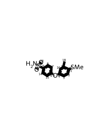 CSc1ccc(Oc2ccc(S(N)(=O)=O)cc2)cc1C